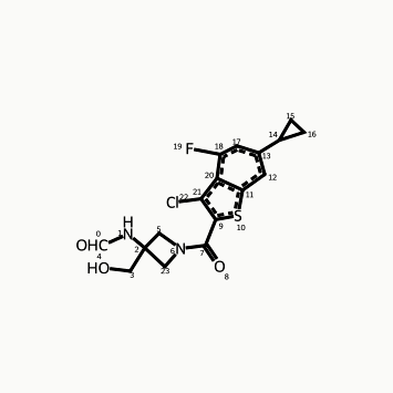 O=CNC1(CO)CN(C(=O)c2sc3cc(C4CC4)cc(F)c3c2Cl)C1